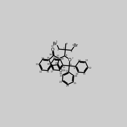 CC(CBr)(CBr)C(OC(c1ccccc1)(c1ccccc1)c1ccccc1)N1C(=O)c2ccccc2C1=O